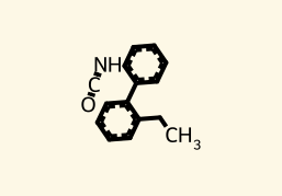 CCc1ccccc1-c1ccccc1.N=C=O